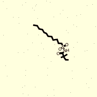 CCCCCCCCCCCCS(=O)(=O)NC(=O)C(C)(C)CC